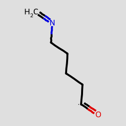 C=NCCCC[C]=O